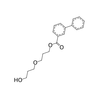 O=C(OCCCOCCCO)c1cccc(-c2ccccc2)c1